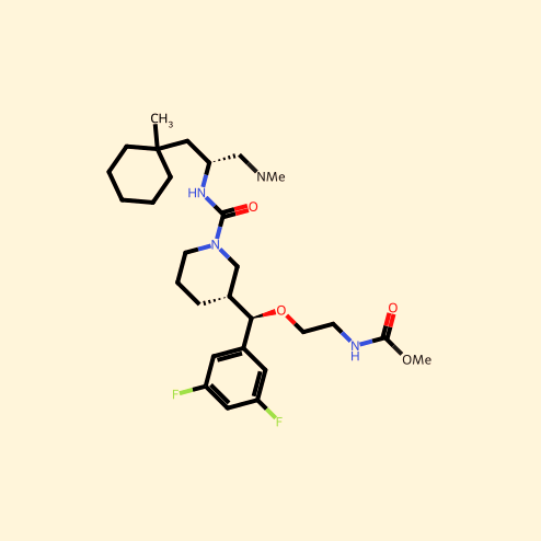 CNC[C@@H](CC1(C)CCCCC1)NC(=O)N1CCC[C@@H]([C@@H](OCCNC(=O)OC)c2cc(F)cc(F)c2)C1